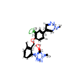 Cc1cccc(-n2nnn(C)c2=O)c1COc1ccc(-c2cnn(C)c2)cc1Cl